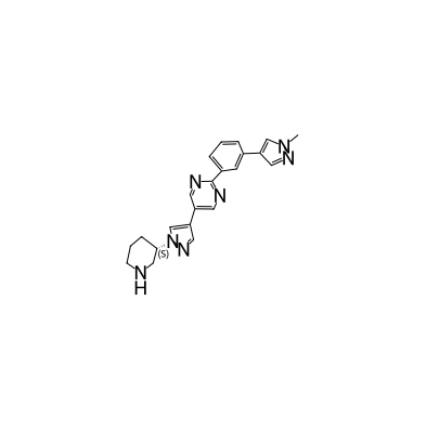 Cn1cc(-c2cccc(-c3ncc(-c4cnn([C@H]5CCCNC5)c4)cn3)c2)cn1